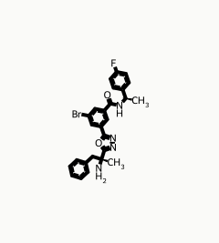 C[C@@H](NC(=O)c1cc(Br)cc(-c2nnc([C@](C)(N)Cc3ccccc3)o2)c1)c1ccc(F)cc1